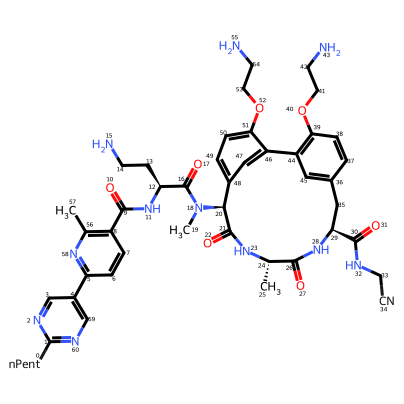 CCCCCc1ncc(-c2ccc(C(=O)N[C@@H](CCN)C(=O)N(C)[C@@H]3C(=O)N[C@@H](C)C(=O)N[C@H](C(=O)NCC#N)Cc4ccc(OCCN)c(c4)-c4cc3ccc4OCCN)c(C)n2)cn1